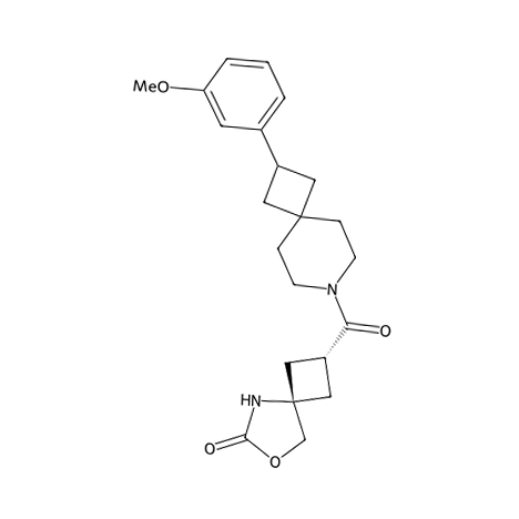 COc1cccc(C2CC3(CCN(C(=O)[C@H]4C[C@]5(COC(=O)N5)C4)CC3)C2)c1